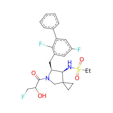 CCS(=O)(=O)N[C@@H]1[C@H](Cc2cc(F)cc(-c3ccccc3)c2F)N(C(=O)C(O)CF)CC12CC2